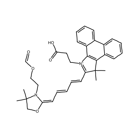 CC1(C)C(/C=C/C=C/C=C2/OCC(C)(C)N2CCOC=O)=[N+](CCC(=O)O)c2c1c1ccccc1c1ccccc21